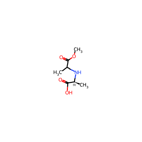 COC(=O)C(C)N[C@@H](C)C(=O)O